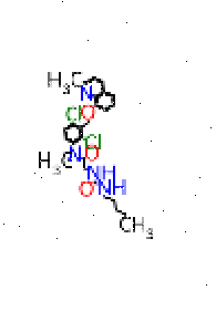 CCCCCNC(=O)NCC(=O)N(C)c1ccc(Cl)c(COc2cccc3ccc(C)nc23)c1Cl